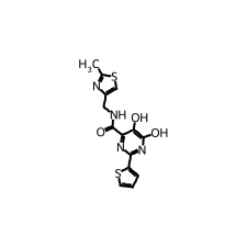 Cc1nc(CNC(=O)c2nc(-c3cccs3)nc(O)c2O)cs1